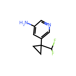 Nc1cncc(C2(C(F)F)CC2)c1